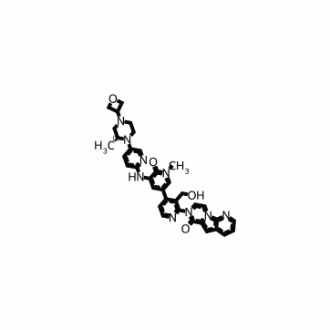 C[C@H]1CN(C2COC2)CCN1c1ccc(Nc2cc(-c3ccnc(-n4ccn5c(cc6cccnc65)c4=O)c3CO)cn(C)c2=O)nc1